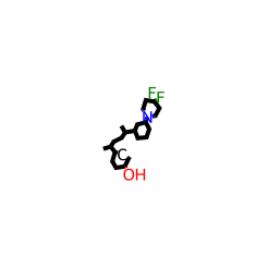 CC(CCC(C)C1CCCC(N2CCC(F)(F)CC2)C1)C1CCC(O)CC1